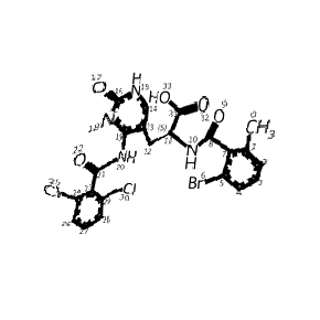 Cc1cccc(Br)c1C(=O)N[C@@H](Cc1c[nH]c(=O)nc1NC(=O)c1c(Cl)cccc1Cl)C(=O)O